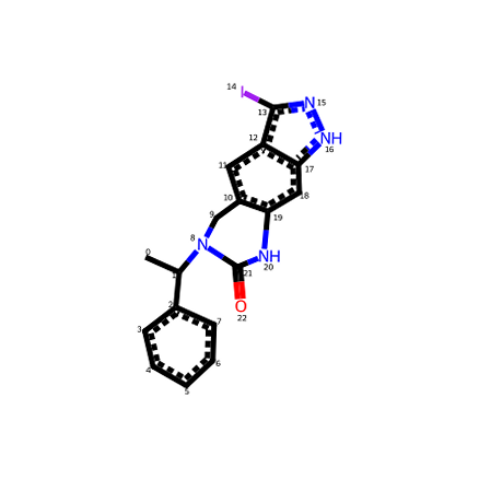 CC(c1ccccc1)N1Cc2cc3c(I)n[nH]c3cc2NC1=O